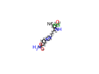 C1CCOC1.Cl.N#Cc1ccc2[nH]cc(CCCCN3CCN(c4ccc5oc(C(N)=O)cc5c4)CC3)c2c1